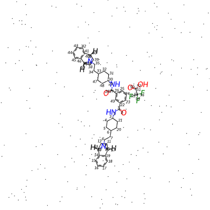 O=C(NC1CCC(CCN2[C@@H]3CC[C@H]2c2ccccc23)CC1)c1cccc(C(=O)NC2CCC(CCN3[C@@H]4CC[C@H]3c3ccccc34)CC2)c1.O=C(O)C(F)(F)F